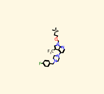 C[Si](C)(C)CCOCn1cc(C(F)(F)F)c2c(N3CCN(Cc4ccc(F)cc4)CC3)ccnc21